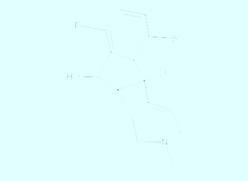 CN1CC=C(C2(O)c3c(Br)ccc(F)c3C(O)C2(C)C)CC1